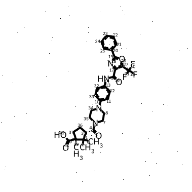 CC1(C)[C@@H](C(=O)N2CCN(c3ccc(NC(=O)c4nc(-c5ccccc5)oc4C(F)(F)F)cc3)CC2)CC[C@@]1(C)C(=O)O